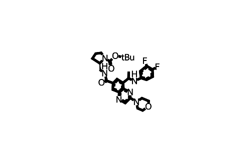 CC(Nc1ccc(F)c(F)c1)c1cc(C(=O)NC[C@H]2CCCN2C(=O)OC(C)(C)C)cc2ncc(N3CCOCC3)nc12